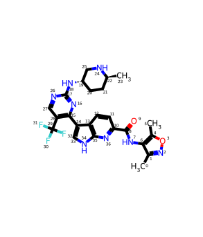 Cc1noc(C)c1NC(=O)c1ccc2c(-c3nc(N[C@H]4CC[C@H](C)NC4)ncc3C(F)(F)F)c[nH]c2n1